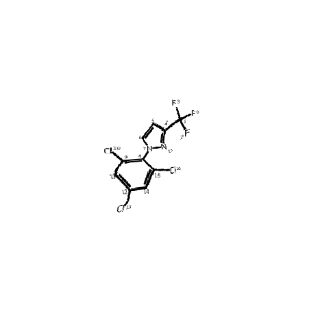 FC(F)(F)c1ccn(-c2c(Cl)cc(Cl)cc2Cl)n1